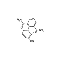 NC(=O)c1cccc(C(N)=O)c1-c1cccc(O)c1F